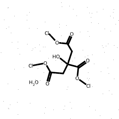 O.O=C(CC(O)(CC(=O)OCl)C(=O)OCl)OCl